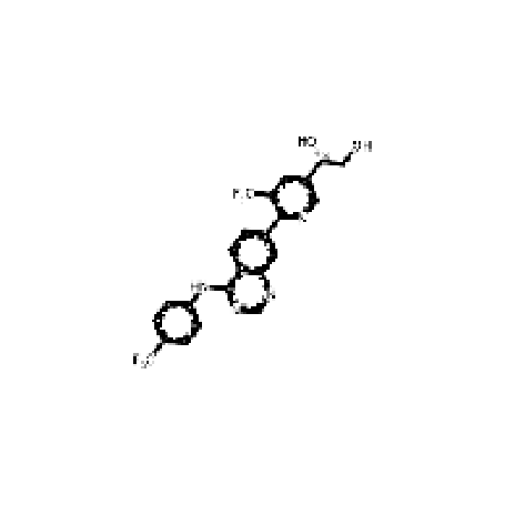 OC[C@@H](O)c1cnc(-c2ccc3c(Nc4ccc(C(F)(F)F)cc4)ncnc3c2)c(C(F)(F)F)c1